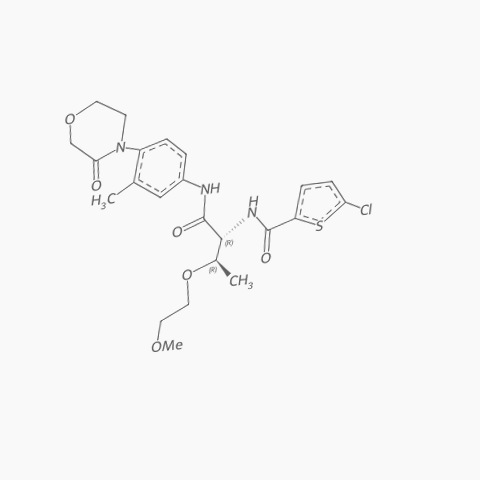 COCCO[C@H](C)[C@@H](NC(=O)c1ccc(Cl)s1)C(=O)Nc1ccc(N2CCOCC2=O)c(C)c1